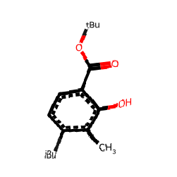 CCC(C)c1ccc(C(=O)OC(C)(C)C)c(O)c1C